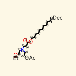 CCCCCCCCCCCCCCCCCCCCOC(=O)CCN(CCOCC)CCOC(C)=O